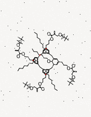 C=C(CO[Si](C)(C)C(C)(C)C)C(=O)OCCCC1=CC2Cc3cc(CCCOC(=O)C(=C)CO[Si](C)(C)C(C)(C)C)cc(c3OCCCCCCC)Cc3cc(CCCOC(=O)C(=C)CO[Si](C)(C)C(C)(C)C)cc(c3OCCCCCCC)Cc3cc(CCCOC(=O)C(=C)CO[Si](C)(C)C(C)(C)C)cc(c3OCCCCCCC)CC(=C1)C2OCCCCCCC